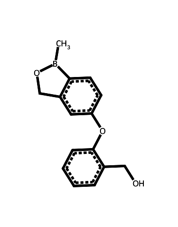 CB1OCc2cc(Oc3ccccc3CO)ccc21